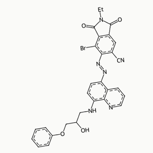 CCN1C(=O)c2cc(C#N)c(/N=N/c3ccc(NCC(O)COc4ccccc4)c4ncccc34)c(Br)c2C1=O